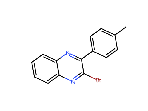 Cc1ccc(-c2nc3ccccc3nc2Br)cc1